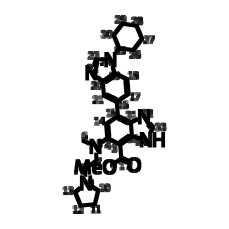 COC(=O)c1c(N(C)CCN2CCCC2)cc(-c2ccc3c(c2)ncn3C2CCCCC2)c2nc[nH]c12